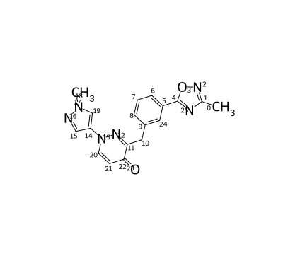 Cc1noc(-c2cccc(Cc3nn(-c4cnn(C)c4)ccc3=O)c2)n1